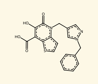 O=C(O)c1c(O)c(=O)n(Cc2cnn(Cc3ccccc3)c2)c2ccsc12